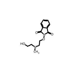 CN(CCO)CCON1C(=O)c2ccccc2C1=O